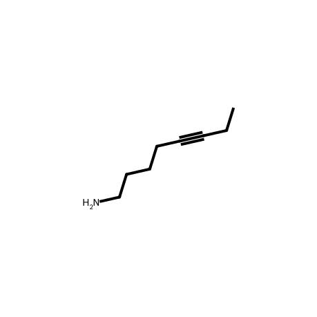 CCC#CCCCCN